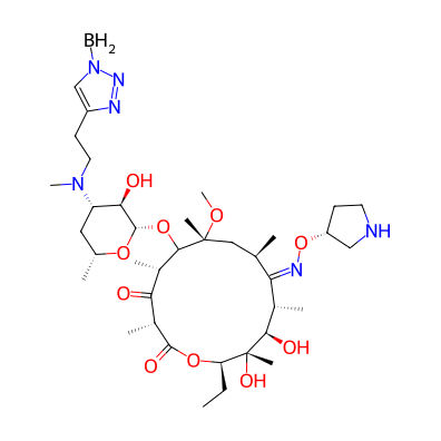 Bn1cc(CCN(C)[C@H]2C[C@@H](C)O[C@@H](OC3[C@@H](C)C(=O)[C@@H](C)C(=O)O[C@H](CC)[C@@](C)(O)[C@H](O)[C@@H](C)/C(=N/O[C@@H]4CCNC4)[C@H](C)C[C@@]3(C)OC)[C@@H]2O)nn1